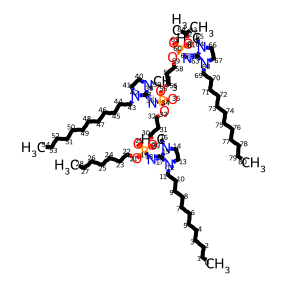 CCCCCCCCCCCCN1CCN(C)/C1=N\P(=O)(OCCCCCCC)OCCCOP(=O)(/N=C1\N(C)CCN1CCCCCCCCCCCC)OCCCOP(=O)(/N=C1\N(C)CCN1CCCCCCCCCCCC)OC(C)C